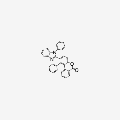 O=c1oc2ccc(-c3nc4ccccc4n3-c3ccccc3)c(-c3ccccc3)c2c2ccccc12